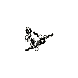 CCCCOC(=O)[C@H](Cc1ccc(OCCCC)c(OCCCC)c1)NC(=O)[C@H](C)NC(=O)CN1CCOCC1